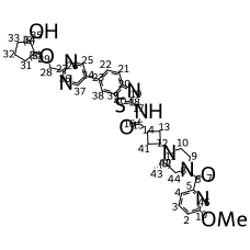 COc1cccc(C(=O)N2CCN([C@H]3C[C@@H](C(=O)Nc4nc5ccc(-c6cnc(CO[C@H]7CCC[C@@H]7O)nc6)cc5s4)C3)[C@@H](C)C2)n1